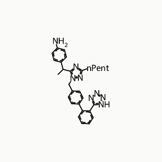 CCCCCc1nc(C(C)c2ccc(N)cc2)n(Cc2ccc(-c3ccccc3-c3nnn[nH]3)cc2)n1